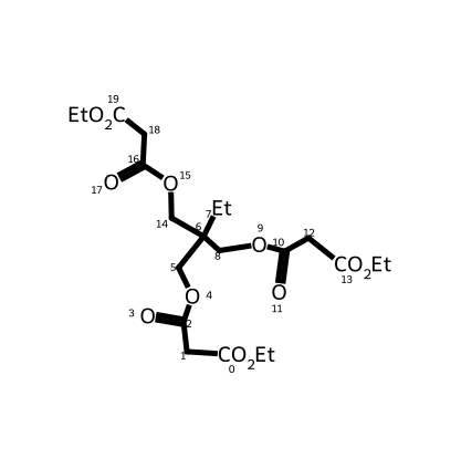 CCOC(=O)CC(=O)OCC(CC)(COC(=O)CC(=O)OCC)COC(=O)CC(=O)OCC